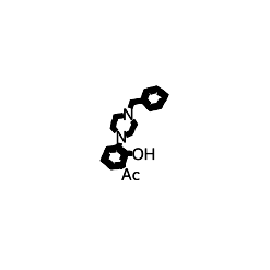 CC(=O)c1cccc(N2CCN(Cc3ccccc3)CC2)c1O